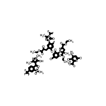 CCOC(=O)C(Cl)Cc1cc(-n2nc(C)n(C(F)F)c2=O)c(F)cc1Cl.CCOC(=O)C1=NN(c2ccc(Cl)cc2Cl)C(C)(C(=O)OCC)C1.Cc1nn(C)c(O)c1C(=O)c1ccc(C(F)(F)F)cc1S(C)(=O)=O.Nc1cc(Cl)nc(C(=O)O)c1Cl